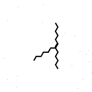 CCCCCC=C(CCCCC)CCCCCC